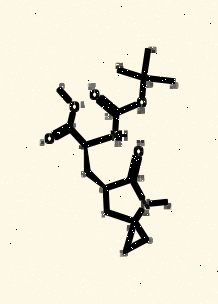 COC(=O)[C@H](C[C@@H]1CC2(CC2)N(C)C1=O)NC(=O)OC(C)(C)C